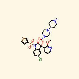 COc1ncccc1C1(OC(=O)N2CCN(C3CCN(C)CC3)CC2)C(=O)N(S(=O)(=O)c2ccsc2)c2ccc(Cl)cc21